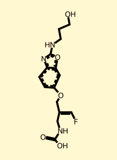 O=C(O)NCC(=CF)COc1ccc2nc(NCCCO)oc2c1